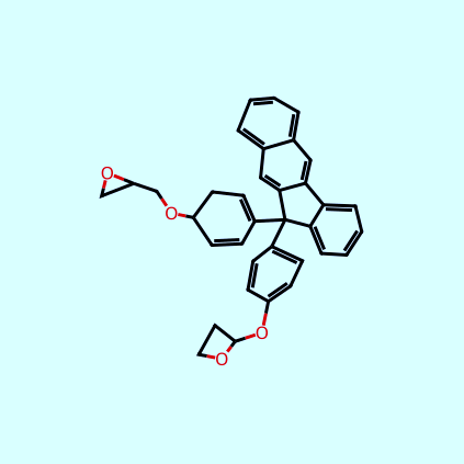 C1=CC(OCC2CO2)CC=C1C1(c2ccc(OC3CCO3)cc2)c2ccccc2-c2cc3ccccc3cc21